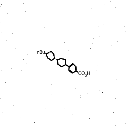 CCCC[C@H]1CC[C@H](C2CCC(c3ccc(C(=O)O)cc3)CC2)CC1